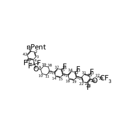 CCCCCc1ccc(C(F)(F)OC2CCC(c3ccc(-c4ccc(-c5cc(F)c(OCC(F)(F)F)c(F)c5)c(F)c4)c(F)c3)CC2)c(F)c1